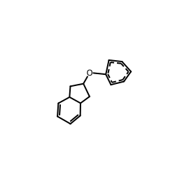 C1=CC2CC(Oc3ccccc3)CC2C=C1